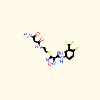 N=C(Nc1ccc(F)c(C(F)F)c1)c1nonc1SCCNC(=O)CC(N)=O